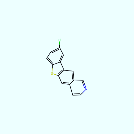 Clc1ccc2sc3cc4ccncc4cc3c2c1